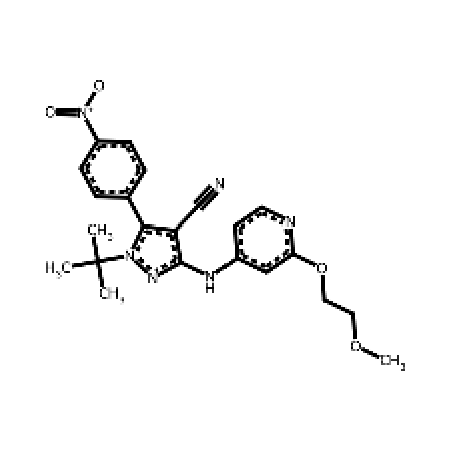 COCCOc1cc(Nc2nn(C(C)(C)C)c(-c3ccc([N+](=O)[O-])cc3)c2C#N)ccn1